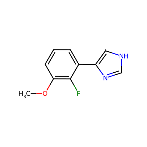 COc1cccc(-c2[c][nH]cn2)c1F